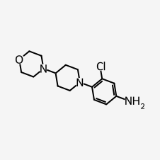 Nc1ccc(N2CCC(N3CCOCC3)CC2)c(Cl)c1